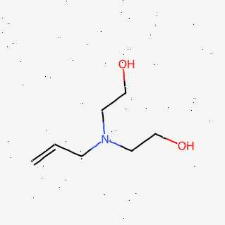 C=C[CH]N(CCO)CCO